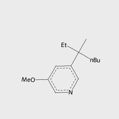 CCCCC(C)(CC)c1cncc(OC)c1